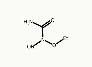 CCON(N=O)C(N)=O